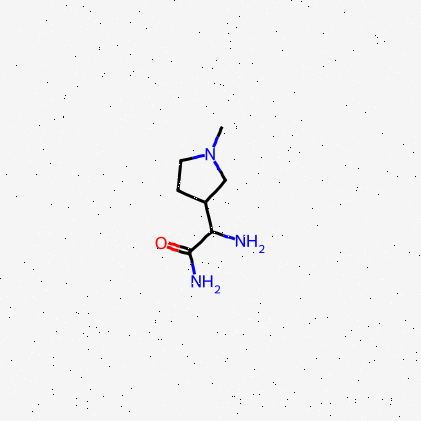 CN1CCC(C(N)C(N)=O)C1